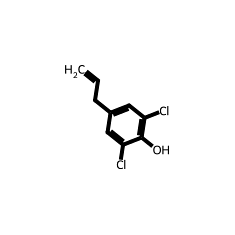 C=CCc1cc(Cl)c(O)c(Cl)c1